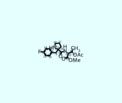 COC(=O)[C@@H](NC(=O)C1(Cc2ccc(F)cc2)CCCN1)[C@@H](C)OC(C)=O